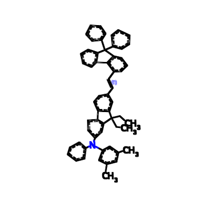 CCC1(CC)c2cc(/C=C/c3cccc4c3-c3ccccc3C4(c3ccccc3)c3ccccc3)ccc2-c2ccc(N(c3ccccc3)c3cc(C)cc(C)c3)cc21